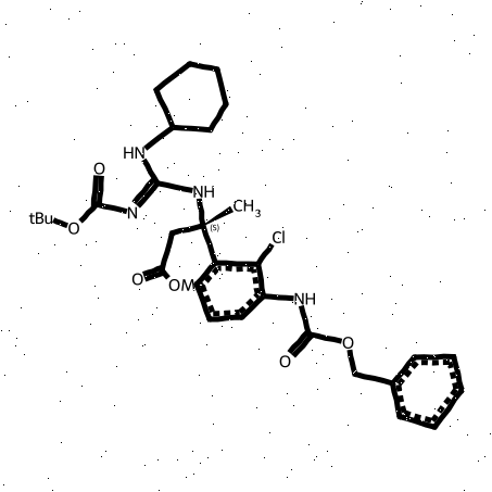 COC(=O)C[C@](C)(NC(=NC(=O)OC(C)(C)C)NC1CCCCC1)c1cccc(NC(=O)OCc2ccccc2)c1Cl